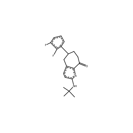 CC(C)(C)Nc1ccc2c(n1)C(=O)CCC(c1cccc(F)c1F)C2